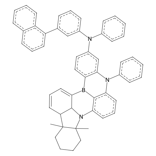 CC12CCCCC1(C)N1c3cccc4c3B(C3=CC=CC2C31)c1ccc(N(c2ccccc2)c2cccc(-c3cccc5ccccc35)c2)cc1N4c1ccccc1